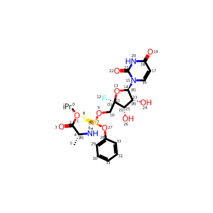 CC(C)OC(=O)[C@@H](C)N[P@](=S)(OC[C@@]1(F)O[C@@H](n2ccc(=O)[nH]c2=O)[C@H](O)[C@@H]1O)Oc1ccccc1